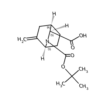 C=C1C[C@H]2CC[C@@H]1N(C(=O)OC(C)(C)C)[C@@H]2C(=O)O